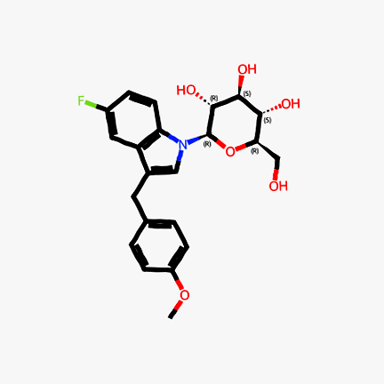 COc1ccc(Cc2cn([C@@H]3O[C@H](CO)[C@@H](O)[C@H](O)[C@H]3O)c3ccc(F)cc23)cc1